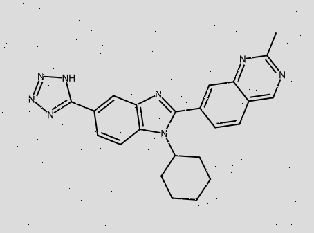 Cc1ncc2ccc(-c3nc4cc(-c5nnn[nH]5)ccc4n3C3CCCCC3)cc2n1